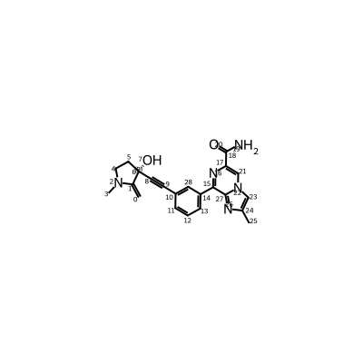 C=C1N(C)CC[C@@]1(O)C#Cc1cccc(-c2nc(C(N)=O)cn3cc(C)nc23)c1